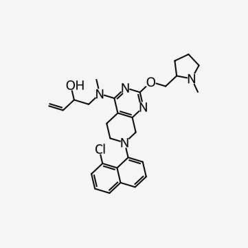 C=CC(O)CN(C)c1nc(OCC2CCCN2C)nc2c1CCN(c1cccc3cccc(Cl)c13)C2